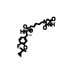 C[C@@H](NS(=O)(=O)CCCCCN1CC(=O)NC1=O)c1ccc(F)c(OC(C)(C)C2CC2)c1